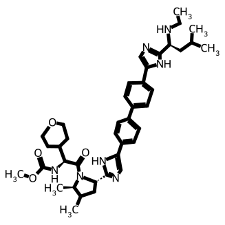 CCN[C@@H](CC(C)C)c1ncc(-c2ccc(-c3ccc(-c4cnc([C@@H]5CC(C)[C@@H](C)N5C(=O)[C@@H](NC(=O)OC)C5CCOCC5)[nH]4)cc3)cc2)[nH]1